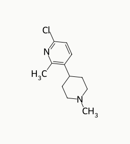 Cc1nc(Cl)ccc1C1CCN(C)CC1